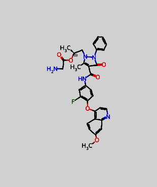 COc1ccc2c(Oc3ccc(NC(=O)c4c(C)n(C[C@H](C)OC(=O)CN)n(-c5ccccc5)c4=O)cc3F)ccnc2c1